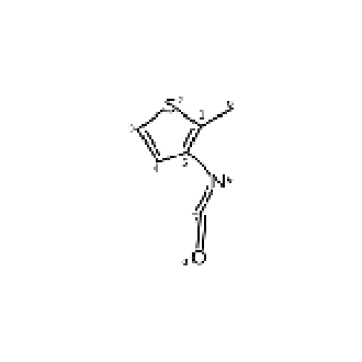 Cc1sccc1N=C=O